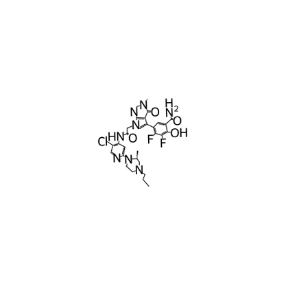 CCCN1CCN(c2cc(NC(=O)Cn3cc(-c4cc(C(N)=O)c(O)c(F)c4F)c4c(=O)n(C)cnc43)c(Cl)cn2)[C@@H](C)C1